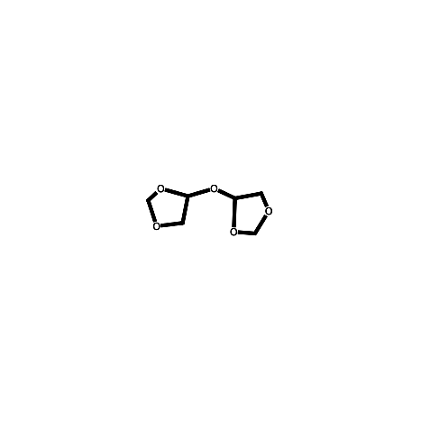 C1OCC(OC2COCO2)O1